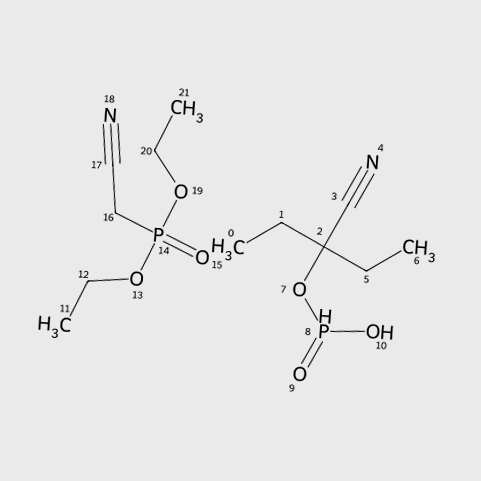 CCC(C#N)(CC)O[PH](=O)O.CCOP(=O)(CC#N)OCC